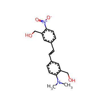 CN(C)c1ccc(/C=C/c2ccc([N+](=O)[O-])c(CO)c2)cc1CO